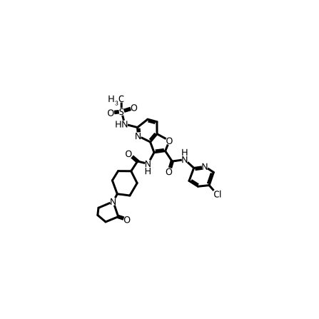 CS(=O)(=O)Nc1ccc2oc(C(=O)Nc3ccc(Cl)cn3)c(NC(=O)C3CCC(N4CCCC4=O)CC3)c2n1